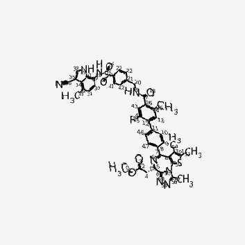 COC(=O)C[C@@H]1N=C(c2ccc(-c3cc(C)c(C(=O)NCc4ccc(S(=O)(=O)Nc5ccc(C)c6c(C#N)c[nH]c56)cc4)cc3F)cc2)c2c(sc(C)c2C)-n2c(C)nnc21